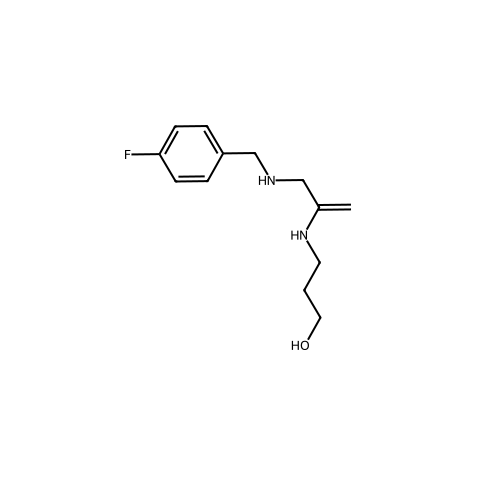 C=C(CNCc1ccc(F)cc1)NCCCO